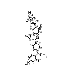 CC(c1ccc(Cl)cc1Cl)N1CCC(COc2cc(F)c(C(=O)NS(C)(=O)=O)cc2C2CC2)CC1